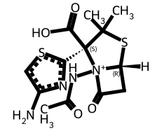 CC(=O)N[N+]12C(=O)C[C@H]1SC(C)(C)[C@@]2(C(=O)O)c1nc(N)cs1